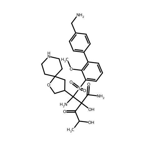 COc1c(-c2ccc(CN)cc2)cccc1S(=O)(=O)C(N)(C1COC2(CCNCC2)C1)C(O)(C(N)=O)C(=O)C(C)O